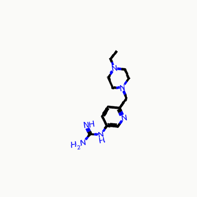 CCN1CCN(Cc2ccc(NC(=N)N)cn2)CC1